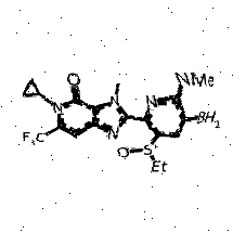 Bc1cc([S+]([O-])CC)c(-c2nc3cc(C(F)(F)F)n(C4CC4)c(=O)c3n2C)nc1NC